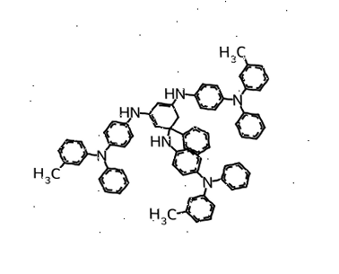 Cc1cccc(N(c2ccccc2)c2ccc(NC3=CC(Nc4ccc(N(c5ccccc5)c5cccc(C)c5)cc4)(c4ccccc4)CC(Nc4ccc(N(c5ccccc5)c5cccc(C)c5)cc4)=C3)cc2)c1